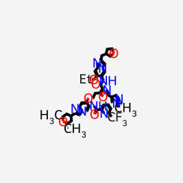 CCOc1cc2nc(CC3CCOC3)cn2cc1NC(=O)c1nc(-c2cnn(C)c2)oc1CCOc1cc2nc(C3C[C@@H](C)O[C@@H](C)C3)cn2cc1NC(=O)c1cccc(C(F)(F)F)n1